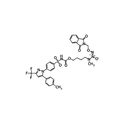 Cc1ccc(-c2cc(C(F)(F)F)nn2-c2ccc(S(=O)(=O)NC(=O)OCCCCN(C)/[N+]([O-])=N\OCN3C(=O)c4ccccc4C3=O)cc2)cc1